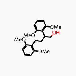 COc1cccc(OC)c1CCC(CO)c1c(OC)cccc1OC